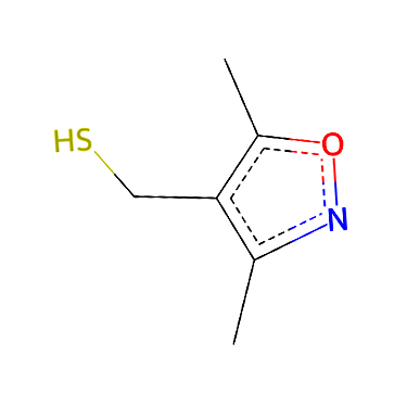 Cc1noc(C)c1CS